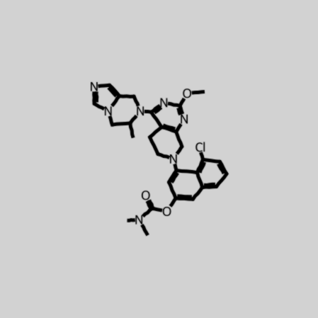 COc1nc2c(c(N3Cc4cncn4CC3C)n1)CCN(c1cc(OC(=O)N(C)C)cc3cccc(Cl)c13)C2